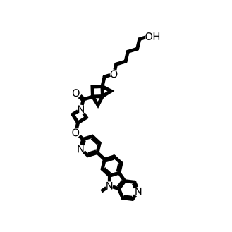 Cn1c2ccncc2c2ccc(-c3ccc(OC4CN(C(=O)C56CC7(COCCCCCO)CC75C6)C4)nc3)cc21